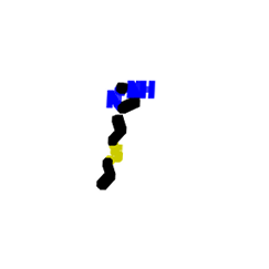 C=CCSCC=C.c1c[nH]cn1